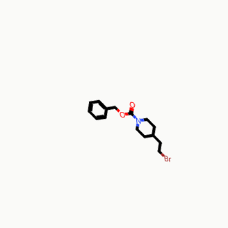 O=C(OCc1ccccc1)N1CCC(CCBr)CC1